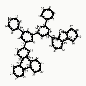 c1ccc(-c2nc(-c3cc(-c4ccncc4)cc(-c4ccc5c6ccccc6c6ccccc6c5c4)c3)cc(-c3cccc4c3oc3ccccc34)n2)cc1